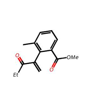 C=C(C(=O)CC)c1c(C)cccc1C(=O)OC